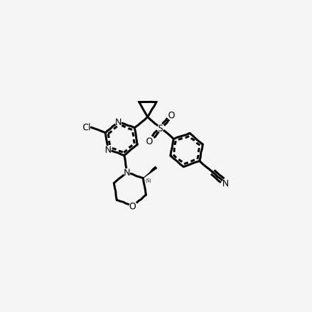 C[C@H]1COCCN1c1cc(C2(S(=O)(=O)c3ccc(C#N)cc3)CC2)nc(Cl)n1